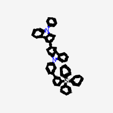 c1ccc(-n2c3ccccc3c3cc(-c4ccc5c(c4)c4ccccc4n5-c4cccc(-c5cccc([Si](c6ccccc6)(c6ccccc6)c6ccccc6)c5)c4)ccc32)cc1